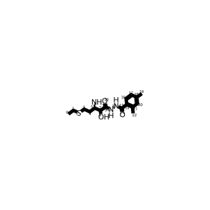 CCSCC[C@@H](N)C(O)C(=O)NNC(=O)c1ccc(C)cc1C